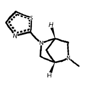 CN1C[C@@H]2C[C@H]1CN2c1nccs1